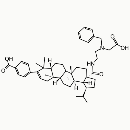 CC(C)[C@@H]1CC[C@]2(C(=O)NCCN(CC(=O)O)Cc3ccccc3)CC[C@]3(C)[C@H](CC[C@@H]4[C@@]5(C)CC=C(c6ccc(C(=O)O)cc6)C(C)(C)[C@@H]5CC[C@]43C)[C@@H]12